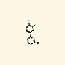 Cc1cc(-c2cccc(F)n2)ccc1F